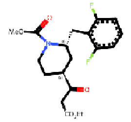 CCOC(=O)CC(=O)[C@H]1CCN(C(=O)OC)[C@H](Cc2c(F)cccc2F)C1